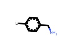 [Li][c]1ccc(CN)cc1